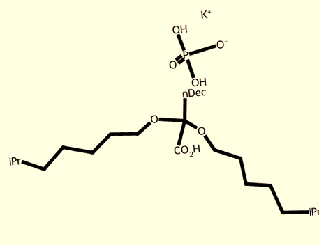 CCCCCCCCCCC(OCCCCCC(C)C)(OCCCCCC(C)C)C(=O)O.O=P([O-])(O)O.[K+]